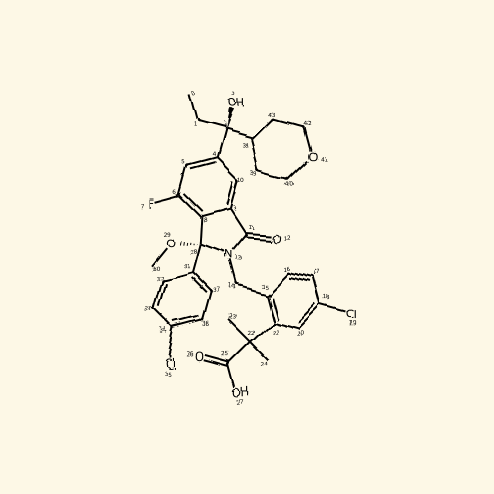 CC[C@@](O)(c1cc(F)c2c(c1)C(=O)N(Cc1ccc(Cl)cc1C(C)(C)C(=O)O)[C@@]2(OC)c1ccc(Cl)cc1)C1CCOCC1